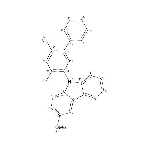 COc1ccc2c(c1)c1ccccc1n2-c1cc(-c2ccncc2)c(C#N)cc1C